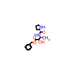 C[C@H](NC(=O)[C@@H]1CCCN1)C(O)C(=O)OCc1ccccc1